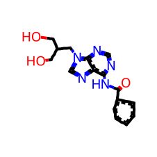 O=C(Nc1ncnc2c1ncn2CC(CO)CO)c1ccccc1